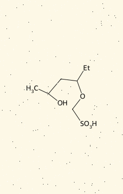 CCC(CC(C)O)OCS(=O)(=O)O